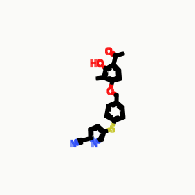 CC(=O)c1ccc(OCc2ccc(Sc3ccc(C#N)nc3)cc2)c(C)c1O